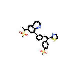 CC(c1cc(-c2cccc(/C=C(\c3ccc(S(C)(=O)=O)cc3)c3nccs3)c2)c2ncccc2c1)S(C)(=O)=O